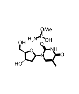 COP(N)O.Cc1cn([C@H]2C[C@H](O)[C@@H](CO)O2)c(=O)[nH]c1=O